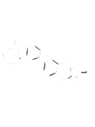 CC1(c2cc(-c3cccc(CC4SC(=S)NC4=O)c3)ccc2O)CCCCC1